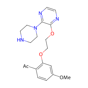 COc1ccc(C(C)=O)c(OCCOc2nccnc2N2CCNCC2)c1